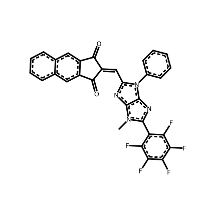 Cn1c(-c2c(F)c(F)c(F)c(F)c2F)nc2c1nc(C=C1C(=O)c3cc4ccccc4cc3C1=O)n2-c1ccccc1